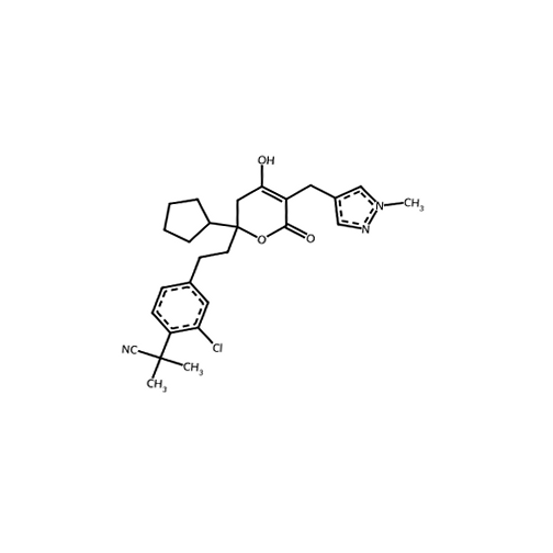 Cn1cc(CC2=C(O)CC(CCc3ccc(C(C)(C)C#N)c(Cl)c3)(C3CCCC3)OC2=O)cn1